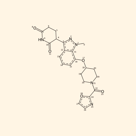 Cn1nc(C2CCC(=O)NC2=O)c2cccc(OC3CCN(C(=O)c4ncco4)CC3)c21